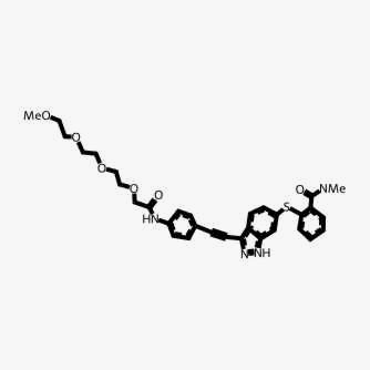 CNC(=O)c1ccccc1Sc1ccc2c(C#Cc3ccc(NC(=O)COCCOCCOCCOC)cc3)n[nH]c2c1